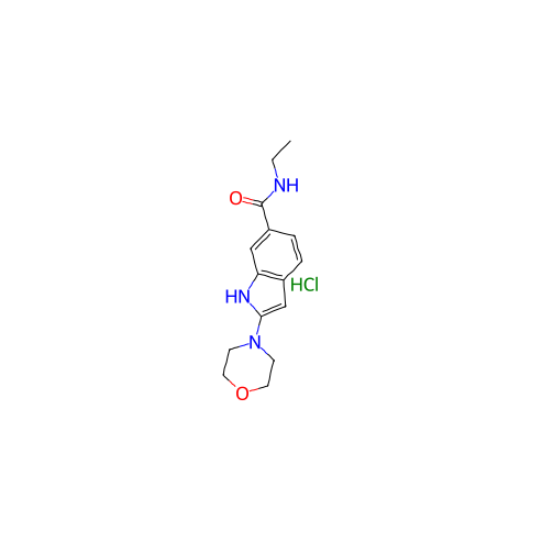 CCNC(=O)c1ccc2cc(N3CCOCC3)[nH]c2c1.Cl